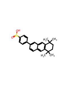 CC1(C)CCC(C)(C)c2cc3cc(-c4ccc(S(=O)O)cc4)ccc3cc21